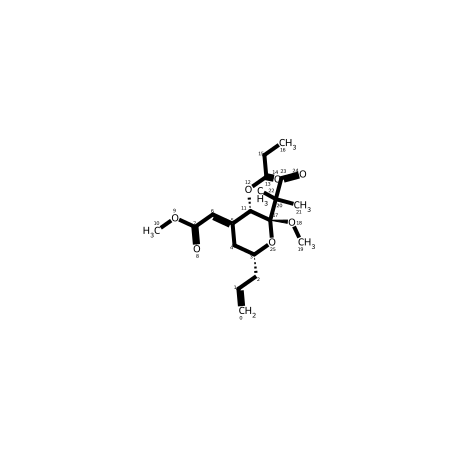 C=CC[C@@H]1C/C(=C\C(=O)OC)[C@H](OC(=O)CC)[C@](OC)(C(C)(C)C=O)O1